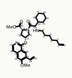 C=CCCCCCN[C@H](C(=O)N1C[C@H](Oc2nccc3cc(OC)c(C=C)cc23)C[C@H]1C(=O)OC)C1CCCCC1